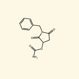 NC(=O)OC1CC(=O)N(Cc2ccccc2)C1=O